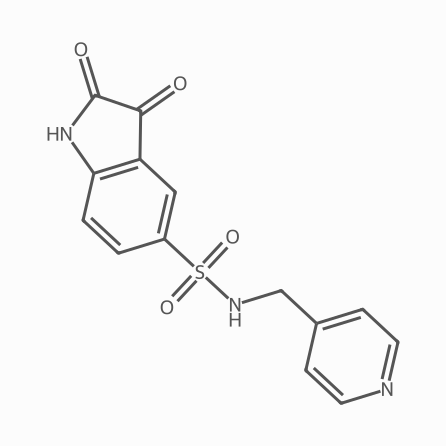 O=C1Nc2ccc(S(=O)(=O)NCc3ccncc3)cc2C1=O